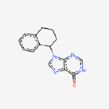 O=c1[nH]cnc2c1ncn2C1CCCc2ccccc21